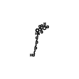 O=C1CCC(N2C(=O)c3cccc(NCCOCCOCCCOCCCCO)c3C2=O)C(=O)N1